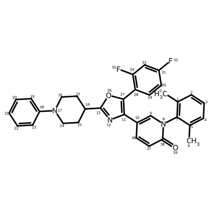 Cc1cccc(C)c1-n1cc(-c2nc(C3CCN(c4ccccc4)CC3)oc2-c2ccc(F)cc2F)ccc1=O